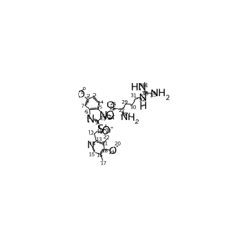 COc1ccc2c(c1)nc([S+]([O-])Cc1ncc(C)c(OC)c1C)n2OC(=O)[C@@H](N)CCCNC(=N)N